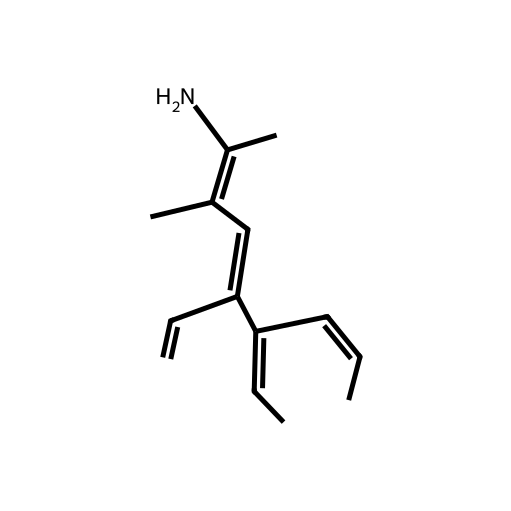 C=CC(=C\C(C)=C(/C)N)/C(/C=C\C)=C/C